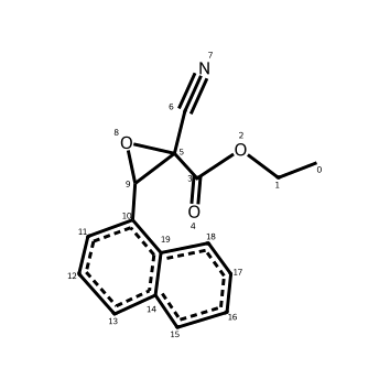 CCOC(=O)C1(C#N)OC1c1cccc2ccccc12